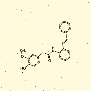 COc1cc(CC(=O)Nc2ccccc2C=Cc2ccccc2)ccc1O